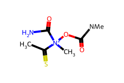 CNC(=O)O[N+](C)(C(N)=O)C(C)=S